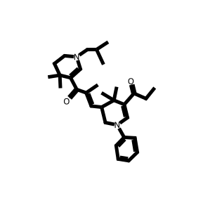 CCC(=O)C1=CN(c2ccccc2)CC(/C=C(\C)C(=O)C2=CN(CC(C)C)CCC2(C)C)C1(C)C